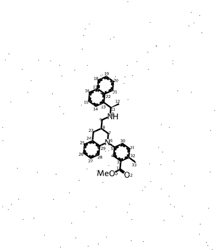 COC(=O)c1cc(N2CC(CN[C@H](C)c3cccc4ccccc34)Cc3ccccc32)ccc1C